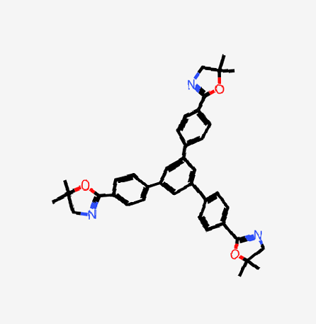 CC1(C)CN=C(c2ccc(-c3cc(-c4ccc(C5=NCC(C)(C)O5)cc4)cc(-c4ccc(C5=NCC(C)(C)O5)cc4)c3)cc2)O1